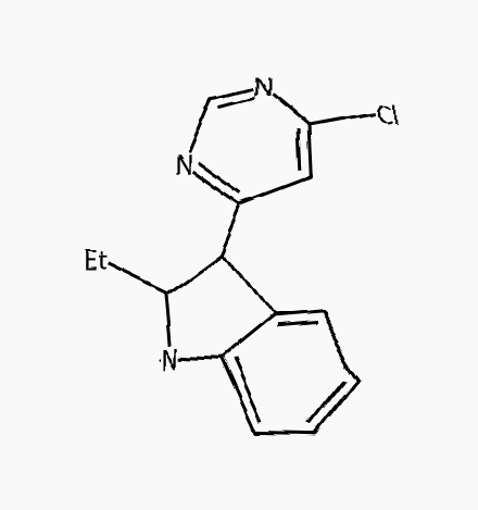 CCC1[N]c2ccccc2C1c1cc(Cl)ncn1